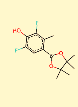 Cc1c(B2OC(C)(C)C(C)(C)O2)cc(F)c(O)c1F